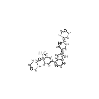 Cc1cc(-c2ncnc3[nH]c(-c4ccc(N5CCOCC5)nc4)cc23)ccc1OC1CCOCC1